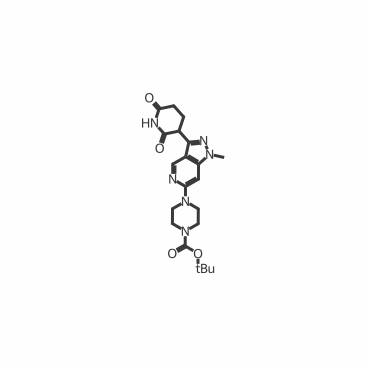 Cn1nc(C2CCC(=O)NC2=O)c2cnc(N3CCN(C(=O)OC(C)(C)C)CC3)cc21